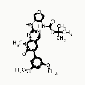 COc1cc(OC)cc(-c2cc3cnc(N[C@@H]4COC[C@@H]4NC(=O)OC(C)(C)C)nc3n(C)c2=O)c1